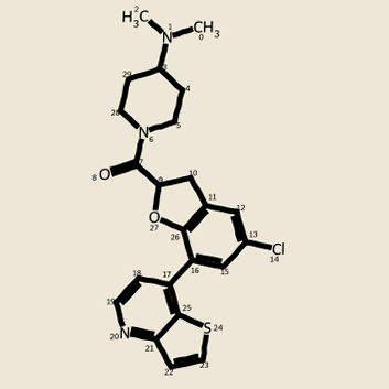 CN(C)C1CCN(C(=O)C2Cc3cc(Cl)cc(-c4ccnc5ccsc45)c3O2)CC1